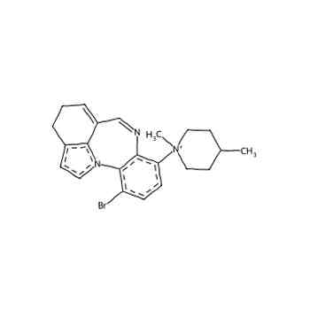 CC1CC[N+](C)(c2ccc(Br)c3c2N=CC2=CCCc4ccn-3c42)CC1